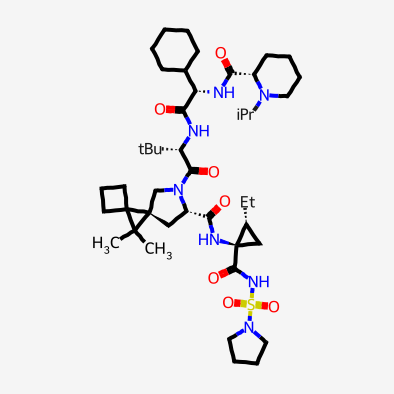 CC[C@@H]1C[C@]1(NC(=O)[C@@H]1C[C@@]2(CN1C(=O)[C@@H](NC(=O)[C@@H](NC(=O)[C@@H]1CCCCN1C(C)C)C1CCCCC1)C(C)(C)C)C(C)(C)C21CCC1)C(=O)NS(=O)(=O)N1CCCC1